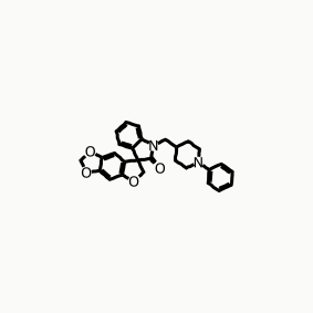 O=C1N(CC2CCN(c3ccccc3)CC2)c2ccccc2C12COc1cc3c(cc12)OCO3